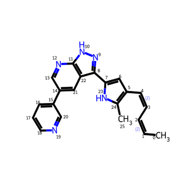 C/C=C\C=C/c1cc(-c2n[nH]c3ncc(-c4cccnc4)cc23)[nH]c1C